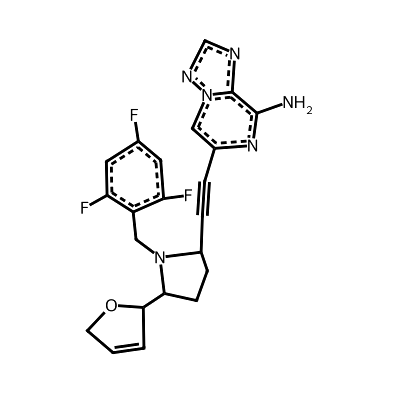 Nc1nc(C#CC2CCC(C3C=CCO3)N2Cc2c(F)cc(F)cc2F)cn2ncnc12